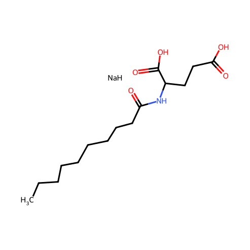 CCCCCCCCCC(=O)NC(CCC(=O)O)C(=O)O.[NaH]